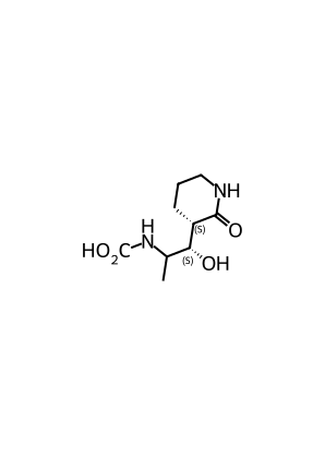 CC(NC(=O)O)[C@@H](O)[C@@H]1CCCNC1=O